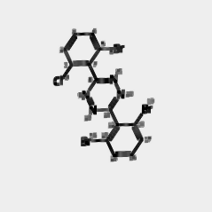 Clc1cccc(Br)c1-c1nnc(-c2c(Br)cccc2Br)nn1